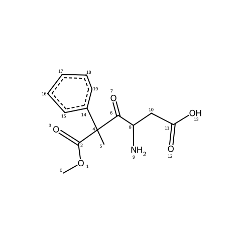 COC(=O)C(C)(C(=O)C(N)CC(=O)O)c1ccccc1